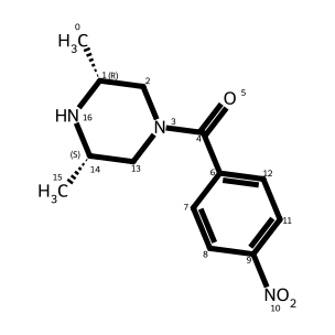 C[C@@H]1CN(C(=O)c2ccc([N+](=O)[O-])cc2)C[C@H](C)N1